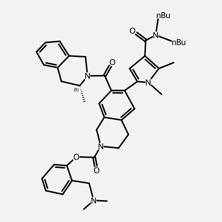 CCCCN(CCCC)C(=O)c1cc(-c2cc3c(cc2C(=O)N2Cc4ccccc4C[C@H]2C)CN(C(=O)Oc2ccccc2CN(C)C)CC3)n(C)c1C